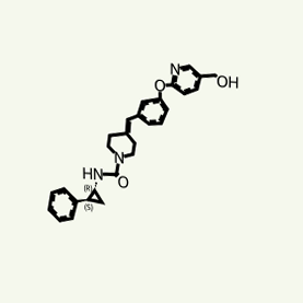 O=C(N[C@@H]1C[C@H]1c1ccccc1)N1CCC(=Cc2cccc(Oc3ccc(CO)cn3)c2)CC1